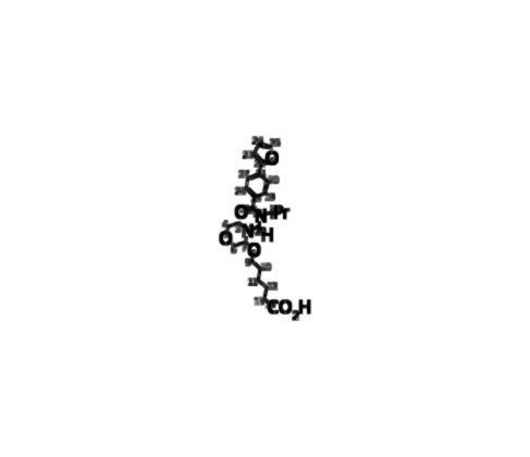 [2H]C(N1CCOCC1OCCCCCC(=O)O)N(C(=O)c1ccc(-c2ccco2)cc1)C(C)C